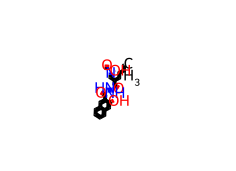 CCCCCC(CN(O)C=O)C(=O)NNC(=O)c1cc2ccccc2cc1O